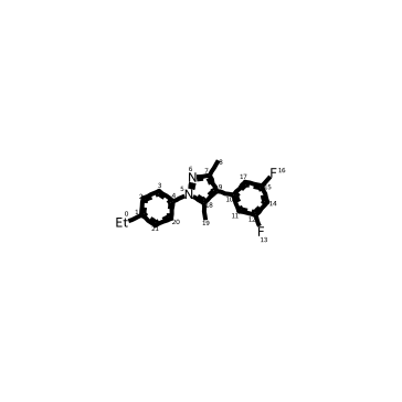 [CH2]Cc1ccc(-n2nc(C)c(-c3cc(F)cc(F)c3)c2C)cc1